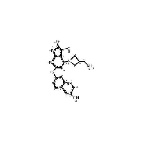 CCc1[nH]c2nc(Sc3ccc4cc(C#N)cnc4c3)nc(N3CC(CN)C3)c2c1Cl